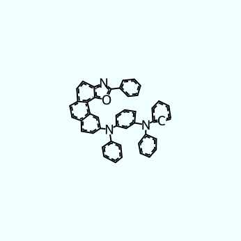 c1ccc(-c2nc3ccc4ccc5ccc(N(c6ccccc6)c6cccc(N(c7ccccc7)c7ccccc7)c6)cc5c4c3o2)cc1